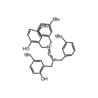 CC(C)(C)c1cccc(C[N+](Cc2cc(C(C)(C)C)ccc2O)=[Ti]=[N+](Cc2cccc(C(C)(C)C)c2)Cc2cc(C(C)(C)C)ccc2O)c1